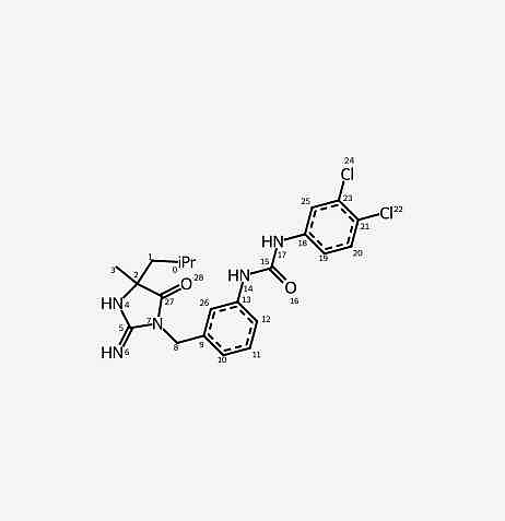 CC(C)CC1(C)NC(=N)N(Cc2cccc(NC(=O)Nc3ccc(Cl)c(Cl)c3)c2)C1=O